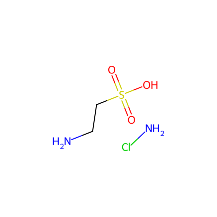 NCCS(=O)(=O)O.NCl